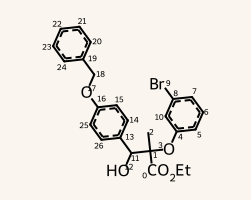 CCOC(=O)C(C)(Oc1cccc(Br)c1)C(O)c1ccc(OCc2ccccc2)cc1